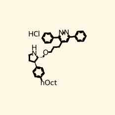 CCCCCCCCc1ccc([C@H]2CCN[C@@H]2COCCCc2cc(-c3ccccc3)nnc2-c2ccccc2)cc1.Cl